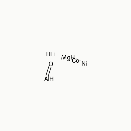 [Co].[LiH].[MgH2].[Ni].[O]=[AlH]